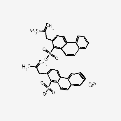 C=C(C)Cc1ccc2c(ccc3ccccc32)c1S(=O)(=O)[O-].C=C(C)Cc1ccc2c(ccc3ccccc32)c1S(=O)(=O)[O-].[Ca+2]